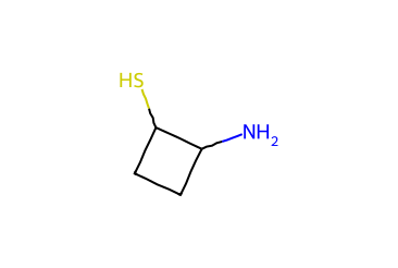 NC1CCC1S